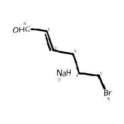 O=CC=CCCCBr.[NaH]